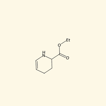 CCOC(=O)C1CCC=CN1